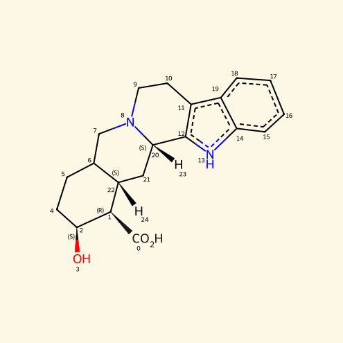 O=C(O)[C@H]1[C@@H](O)CCC2CN3CCc4c([nH]c5ccccc45)[C@@H]3C[C@@H]21